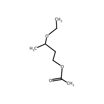 CCOC(C)CCOC(C)=O